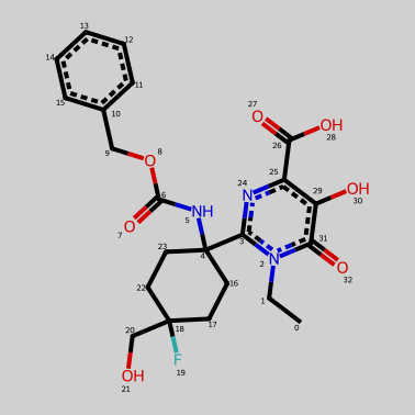 CCn1c(C2(NC(=O)OCc3ccccc3)CCC(F)(CO)CC2)nc(C(=O)O)c(O)c1=O